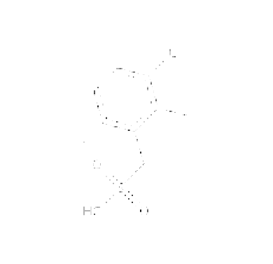 O=S(=O)(O)Cc1c(F)ccc(Cl)c1Cl